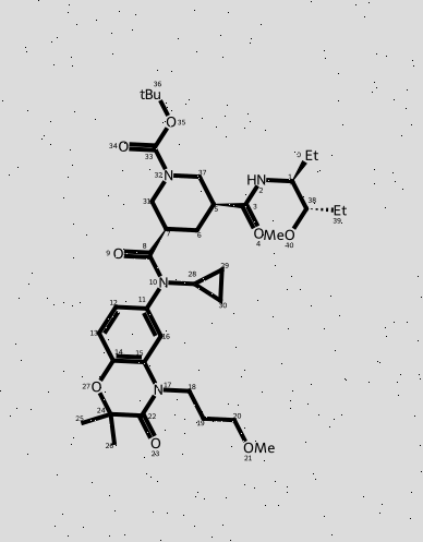 CC[C@H](NC(=O)[C@H]1C[C@@H](C(=O)N(c2ccc3c(c2)N(CCCOC)C(=O)C(C)(C)O3)C2CC2)CN(C(=O)OC(C)(C)C)C1)[C@H](CC)OC